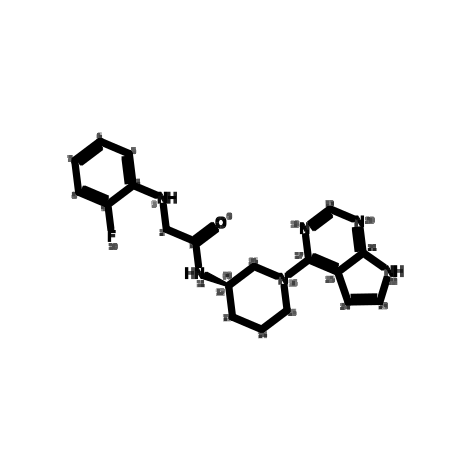 O=C(CNc1ccccc1F)N[C@@H]1CCCN(c2ncnc3[nH]ccc23)C1